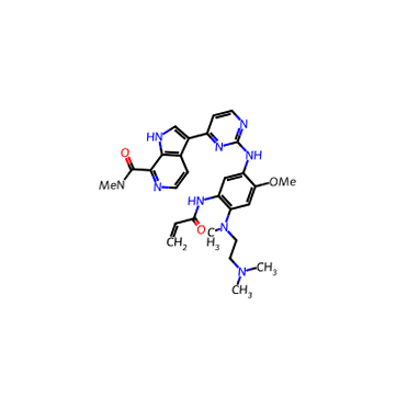 C=CC(=O)Nc1cc(Nc2nccc(-c3c[nH]c4c(C(=O)NC)nccc34)n2)c(OC)cc1N(C)CCN(C)C